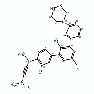 CN(C)C#CN(C=O)c1ccc(-c2cc(F)cc(-c3ccnc(N4CCNCC4)c3)c2O)cc1Cl